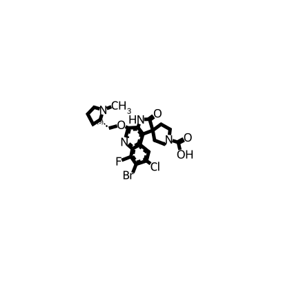 CN1CCC[C@H]1COc1nc2c(F)c(Br)c(Cl)cc2c2c1NC(=O)C21CCN(C(=O)O)CC1